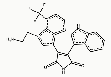 NCCn1cc(C2=C(c3c[nH]c4ccccc34)C(=O)NC2=O)c2cccc(C(F)(F)F)c21